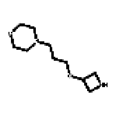 C(COC1CNC1)CN1CCOCC1